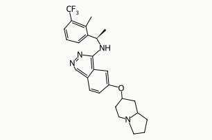 Cc1c([C@@H](C)Nc2nncc3ccc(OC4CCN5CCCC5C4)cc23)cccc1C(F)(F)F